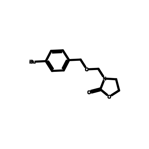 CCC(C)c1ccc(COCN2CCOC2=O)cc1